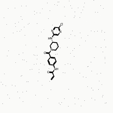 C=CC(=O)Nc1ccc(C(=O)N2CCC[C@@H](Nc3cnc(Cl)cn3)C2)cc1